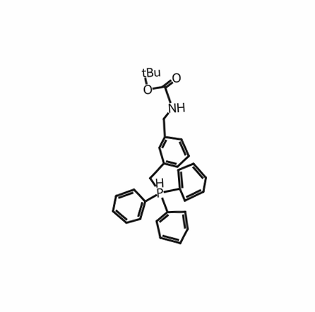 CC(C)(C)OC(=O)NCc1cccc(C[PH](c2ccccc2)(c2ccccc2)c2ccccc2)c1